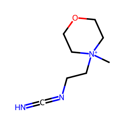 C[N+]1(CCN=C=N)CCOCC1